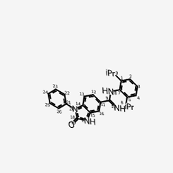 CC(C)c1cccc(C(C)C)c1NC(=N)c1ccc2c(c1)[nH]c(=O)n2-c1ccccc1